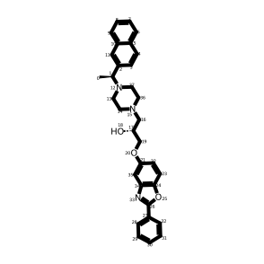 C[C@@H](c1ccc2ccccc2c1)N1[CH]CN(C[C@@H](O)COc2ccc3oc(-c4ccccc4)nc3c2)CC1